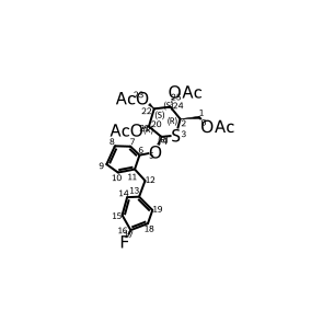 CC(=O)OC[C@H]1S[C@@H](Oc2ccccc2Cc2ccc(F)cc2)[C@H](OC(C)=O)[C@@H](OC(C)=O)[C@@H]1OC(C)=O